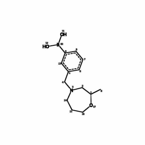 CC1CN(Cc2cccc(B(O)O)c2)CCCO1